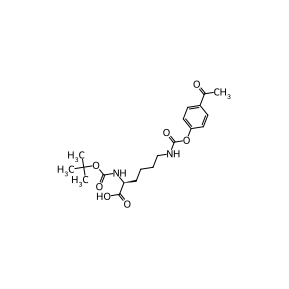 CC(=O)c1ccc(OC(=O)NCCCC[C@H](NC(=O)OC(C)(C)C)C(=O)O)cc1